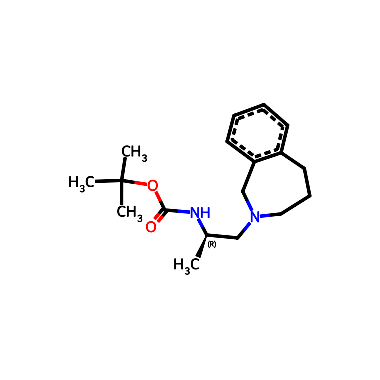 C[C@H](CN1CCCc2ccccc2C1)NC(=O)OC(C)(C)C